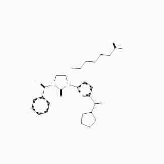 O=C(O)CCCCCC[C@H]1CN(C(=O)c2ccccc2)C(=O)N1c1ccc(C(O)C2CCCC2)s1